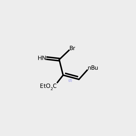 CCCC/C=C(\C(=N)Br)C(=O)OCC